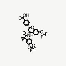 O=C(O)c1ccc([C@H]2C[C@@H](NC(=O)C3(c4ccc5c(c4)OC(F)(F)O5)CC3)c3ccc(OC(F)F)cc3O2)cc1